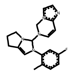 Cc1ccc(F)cc1N1C=C2CCCN2C1N1C=Cc2nccn2C1